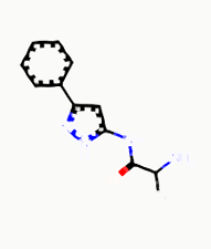 CCC(N)C(=O)Nc1cc(-c2ccccc2)n[nH]1